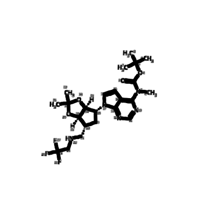 CN(C(=O)OC(C)(C)C)c1ncnc2c1ccn2[C@@H]1C[C@H](CNCC(F)(F)F)[C@H]2OC(C)(C)O[C@H]21